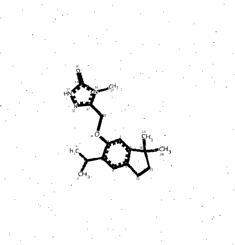 CC(C)c1cc2c(cc1OCc1n[nH]c(=O)n1C)C(C)(C)CC2